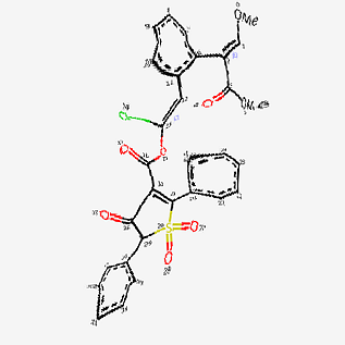 CO/C=C(/C(=O)OC)c1ccccc1/C=C(\Cl)OC(=O)C1=C(c2ccccc2)S(=O)(=O)C(c2ccccc2)C1=O